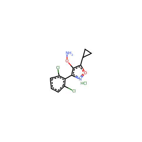 Cl.NOc1c(-c2c(Cl)cccc2Cl)noc1C1CC1